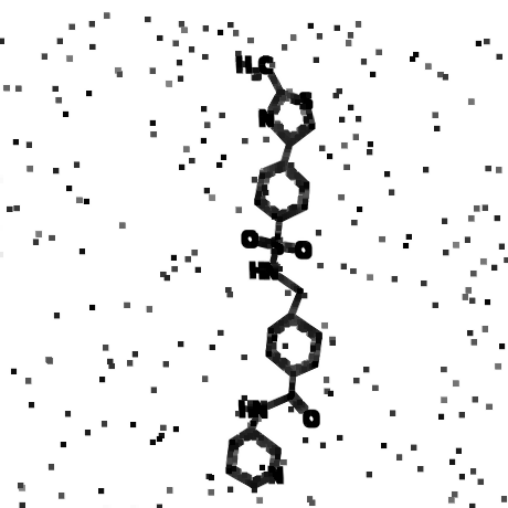 Cc1nc(-c2ccc(S(=O)(=O)NCc3ccc(C(=O)Nc4cccnc4)cc3)cc2)cs1